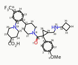 COc1ccc(C2(C(=O)N3CCC(c4ccc(C(F)(F)F)cc4N4CCC(C(=O)O)CC4)CC3)CC2CNC2CCC2)cc1